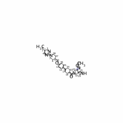 CCc1cnc(N2CCC(COc3ccc(C4=CCC(C(=O)N5C/C(=N\OC)C6(CNC6)C5)CC4)cc3)CC2)nc1